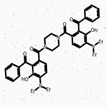 CCN(CC)c1ccc(C(=O)N2CCN(C(=O)c3ccc(N(CC)CC)c(O)c3C(=O)c3ccccc3)CC2)c(C(=O)c2ccccc2)c1O